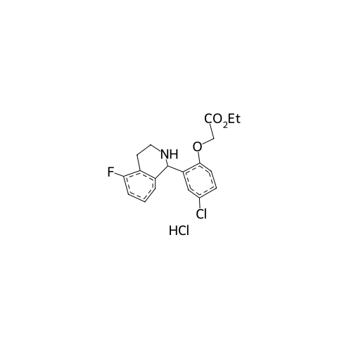 CCOC(=O)COc1ccc(Cl)cc1C1NCCc2c(F)cccc21.Cl